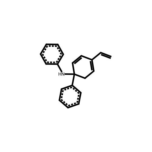 C=CC1=CCC(Nc2ccccc2)(c2ccccc2)C=C1